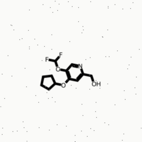 OCc1cc(OC2CCCC2)c(OC(F)F)cn1